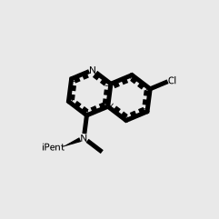 C[CH]C[C@H](C)N(C)c1ccnc2cc(Cl)ccc12